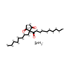 CCCCCCCCCC(=O)C(CCCCCCCC)(C(C)=O)C(C)=O.[SnH2]